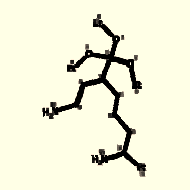 CCO[Si](OCC)(OCC)C(CCN)CCCC(N)CC